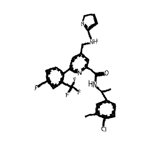 Cc1cc(C(C)NC(=O)c2cc(CNC3=NCCC3)cc(-c3ccc(F)cc3C(F)(F)F)n2)ccc1Cl